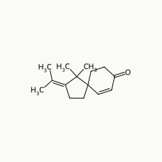 CC(C)=C1CCC2(C=CC(=O)CC2)C1(C)C